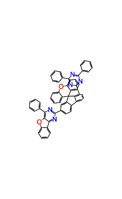 c1ccc(-c2nc(-c3ccccc3)nc(-c3cccc4c3C3(c5ccccc5Oc5ccccc53)c3cc(-c5nc(-c6ccccc6)c6oc7ccccc7c6n5)ccc3-4)n2)cc1